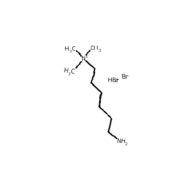 Br.C[N+](C)(C)CCCCCCN.[Br-]